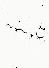 CC1(C)COC(=O)C(=O)O[C@@H]1C(=O)NCCC(=O)NCCS